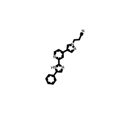 N#CCCn1cc(-c2ccnc(-c3ncc(-c4ccccc4)[nH]3)c2)cn1